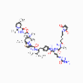 CC[C@H](C)[C@H](NC(=O)[C@H]1C[C@H](C)CCN1C)C(=O)N(CC)[C@H](C[C@@H](OC(C)=O)c1nc(C(=O)N[C@@H](Cc2ccc(NC(=O)[C@H](CCCNC(N)=O)NC(=O)[C@@H](NC(=O)CCCCCN3C(=O)C=CC3=O)C(C)C)cc2)C[C@H](C)C(=O)O)cs1)C(C)C